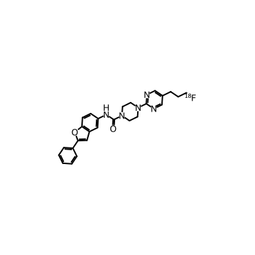 O=C(Nc1ccc2oc(-c3ccccc3)cc2c1)N1CCN(c2ncc(CCC[18F])cn2)CC1